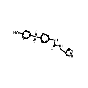 O=C(NCc1cn[nH]c1)Nc1ccc(S(=O)(=O)c2ccc(O)nc2)cc1